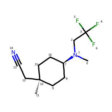 CN(CC(F)(F)F)[C@H]1CC[C@@](C)(CC#N)CC1